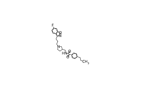 CCCc1ccc(S(=O)(=O)NCC2CCN(CCCc3noc4cc(F)ccc34)C2)cc1